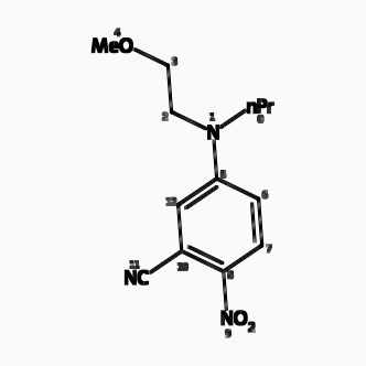 CCCN(CCOC)c1ccc([N+](=O)[O-])c(C#N)c1